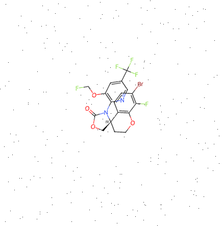 O=C1OC[C@@]2(CCOc3c2ccc(Br)c3F)N1c1ncc(C(F)(F)F)cc1OCF